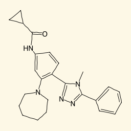 Cn1c(-c2ccccc2)nnc1-c1ccc(NC(=O)C2CC2)cc1N1CCCCCC1